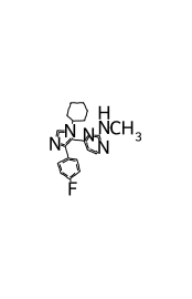 CNc1nccc(-c2c(-c3ccc(F)cc3)ncn2C2CCCCC2)n1